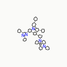 c1ccc(-c2ccc3c(c2)c2cc(-c4ccccc4)ccc2n3-c2ccc(-c3cc(-c4ccccc4)nc(-c4ccccc4)n3)cc2-c2ccc(-c3cccc(N4c5ccccc5B5c6ccccc6N(c6ccccc6)c6cccc4c65)c3)cc2)cc1